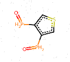 O=[PH2]c1cscc1[PH2]=O